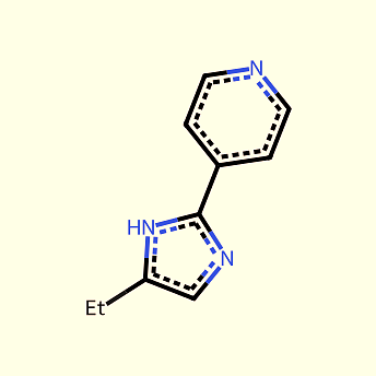 CCc1cnc(-c2ccncc2)[nH]1